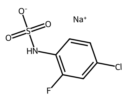 O=S(=O)([O-])Nc1ccc(Cl)cc1F.[Na+]